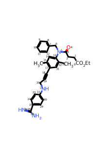 CCOC(=O)CCC(=O)N(Cc1ccccc1)c1cc(C)c(C#CCNc2ccc(C(=N)N)cc2)cc1C